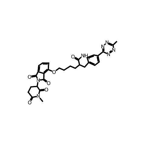 Cc1nnc(-c2ccc(CC(CCCCOc3cccc4c3C(=O)N(C3CCC(=O)N(C)C3=O)C4=O)C(N)=O)cc2)nn1